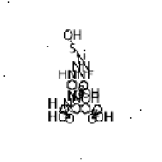 CN(CCSCCO)c1nc(F)nc(Nc2ccc(/N=N/c3c(N)c(S(=O)(=O)O)cc4cc(S(=O)(=O)O)cc(O)c34)c(S(=O)(=O)O)c2)n1